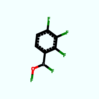 FOB(F)c1ccc(F)c(F)c1F